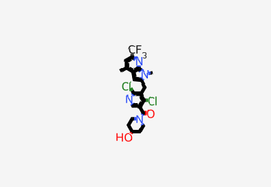 Cc1cc(C(F)(F)F)nc2c1cc(Cc1c(Cl)ncc(C(=O)N3CCC(O)CC3)c1Cl)n2C